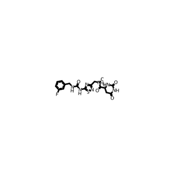 CN(Cc1nsc(NC(=O)NCc2cccc(F)c2)n1)C(=O)C1CC(=O)NC(=O)N1